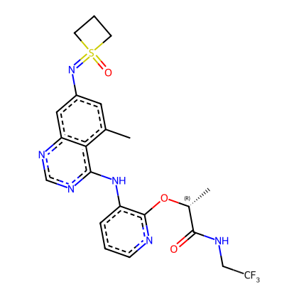 Cc1cc(N=S2(=O)CCC2)cc2ncnc(Nc3cccnc3O[C@H](C)C(=O)NCC(F)(F)F)c12